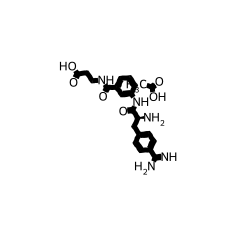 CC(=O)O.N=C(N)c1ccc(C[C@H](N)C(=O)Nc2cccc(C(=O)NCCC(=O)O)c2)cc1